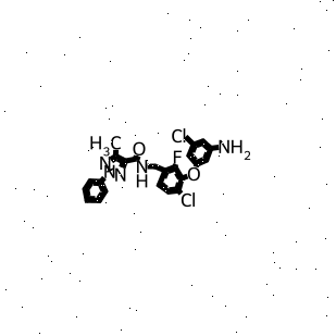 Cc1nn(-c2ccccc2)nc1C(=O)NCc1ccc(Cl)c(Oc2cc(N)cc(Cl)c2)c1F